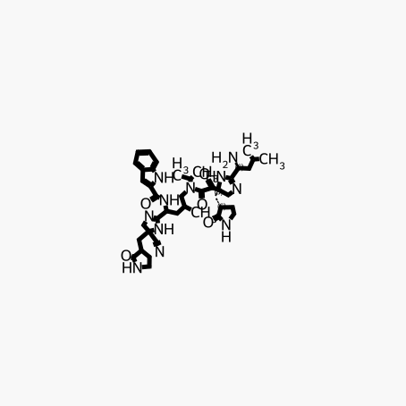 CC(C)C[C@H](N)C1=NC[C@@](C[C@@H]2CCNC2=O)(C(=O)C(=O)N(CC(C)CC(NC(=O)c2cc3ccccc3[nH]2)C2=NCC(C#N)(CC3CCNC3=O)N2)C(C)C)N1